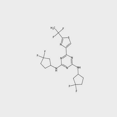 CC(F)(F)c1nc(-c2nc(NC3CCC(F)(F)C3)nc(NC3CCC(F)(F)C3)n2)cs1